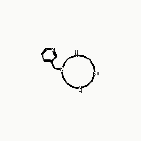 c1cncc(CN2CCCNCCNCCCNCC2)c1